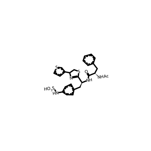 CC(=O)N[C@@H](Cc1ccccc1)C(=O)N[C@@H](Cc1ccc(NS(=O)(=O)O)cc1)C1=NC(c2ccsc2)CS1